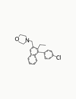 CCc1c(CN2CCOCC2)cc2ccccc2c1-c1ccc(Cl)cc1